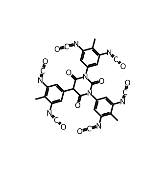 Cc1c(N=C=O)cc(C2C(=O)N(c3cc(N=C=O)c(C)c(N=C=O)c3)C(=O)N(c3cc(N=C=O)c(C)c(N=C=O)c3)C2=O)cc1N=C=O